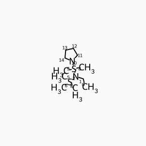 CCN(S(C)(C)C)S(C)(C)N1CCCC1